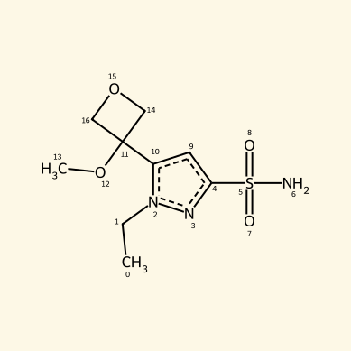 CCn1nc(S(N)(=O)=O)cc1C1(OC)COC1